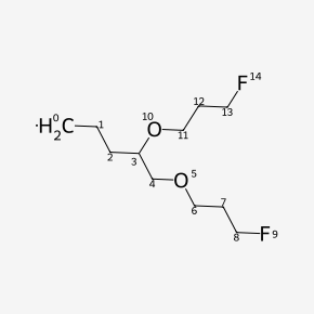 [CH2]CCC(COCCCF)OCCCF